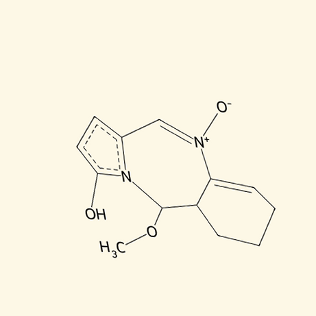 COC1C2CCCC=C2[N+]([O-])=Cc2ccc(O)n21